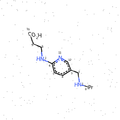 CC(C)NCc1ccc(NCCC(=O)O)nc1